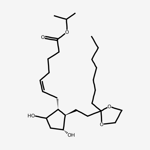 CCCCCCCC1(CC[C@H]2[C@H](O)CC(O)[C@@H]2C/C=C\CCCC(=O)OC(C)C)OCCO1